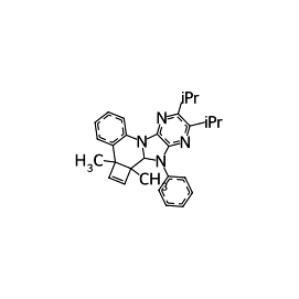 CC(C)c1nc2c(nc1C(C)C)N1c3ccccc3C3(C)C=CC3(C)C1N2c1ccccc1